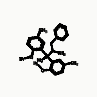 Cc1ccc(OC(C)C)c(C(O)(c2cc(C)ccc2OC(C)C)C(N)Cc2ccccc2)c1